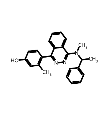 Cc1cc(O)ccc1-c1nnc(N(C)C(C)c2ccccc2)c2ccccc12